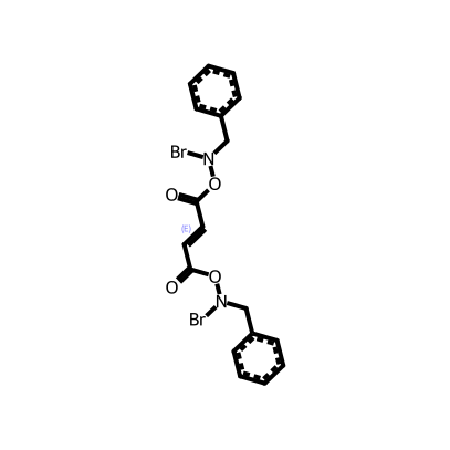 O=C(/C=C/C(=O)ON(Br)Cc1ccccc1)ON(Br)Cc1ccccc1